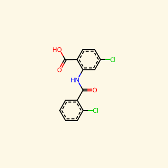 O=C(Nc1cc(Cl)ccc1C(=O)O)c1ccccc1Cl